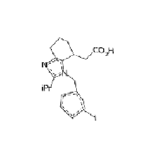 CC(C)c1nc2c(n1Cc1cccc(I)c1)C(CC(=O)O)CCC2